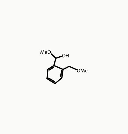 COCc1ccccc1C(O)OC